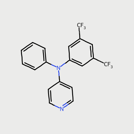 FC(F)(F)c1cc(N(c2ccccc2)c2ccncc2)cc(C(F)(F)F)c1